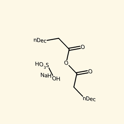 CCCCCCCCCCCC(=O)OC(=O)CCCCCCCCCCC.O=S(=O)(O)O.[NaH]